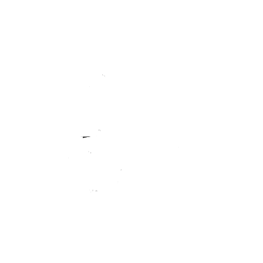 COC(=O)[C@]1(COc2ccccc2)CC2c3cccc4[nH]cc(c34)C[C@H]2N(C)C1.CS(=O)(=O)O